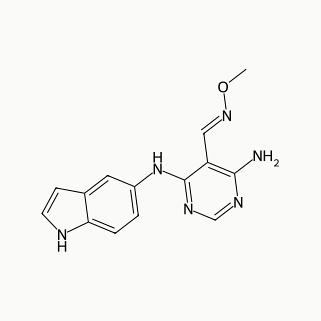 CON=Cc1c(N)ncnc1Nc1ccc2[nH]ccc2c1